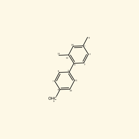 Cc1ccc(-c2ccc(C=O)cc2)c(C)c1